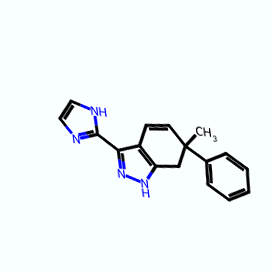 CC1(c2ccccc2)C=Cc2c(-c3ncc[nH]3)n[nH]c2C1